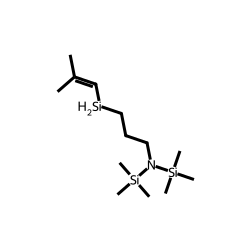 CC(C)=C[SiH2]CCCN([Si](C)(C)C)[Si](C)(C)C